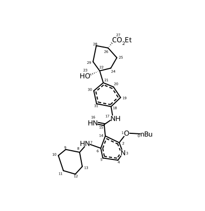 CCCCOc1nccc(NC2CCCCC2)c1C(=N)Nc1ccc([C@]2(O)CC[C@@H](C(=O)OCC)CC2)cc1